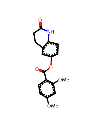 COc1ccc(C(=O)Oc2ccc3c(c2)CCC(=O)N3)c(OC)c1